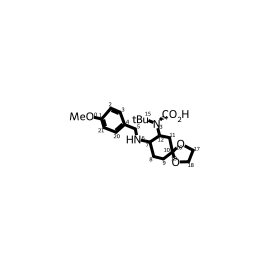 COc1ccc(CNC2CCC3(CC2N(C(=O)O)C(C)(C)C)OCCO3)cc1